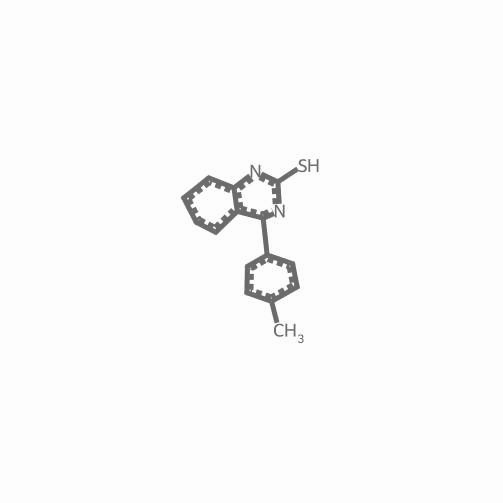 Cc1ccc(-c2nc(S)nc3ccccc23)cc1